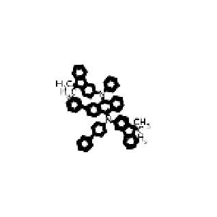 CC1(C)c2ccccc2-c2cc(N(c3ccc(-c4ccccc4)cc3)c3c4ccccc4c(N(c4ccccc4)c4ccc5c(c4)-c4ccccc4C5(C)C)c4cc(-c5ccccc5)ccc34)ccc21